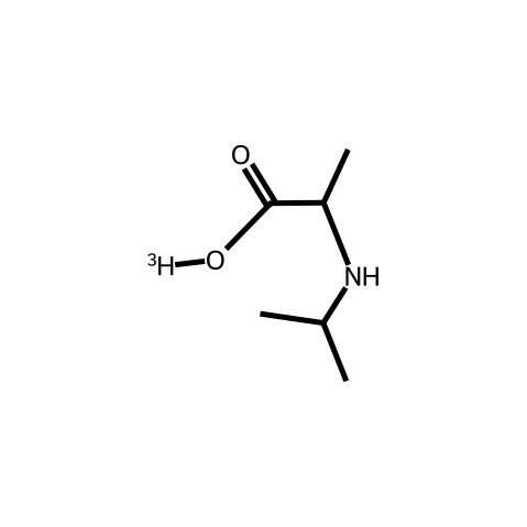 [3H]OC(=O)C(C)NC(C)C